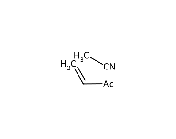 C=CC(C)=O.CC#N